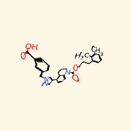 Cc1cccc(CCCOC(=O)N2CCCc3c(-c4cnn(Cc5cccc(C(=O)O)c5)c4)cccc32)c1C